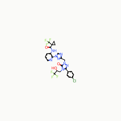 O=C(Nc1cccnc1-n1cnc(Cn2nc(-c3ccc(Cl)cc3)n(CC(O)C(F)(F)F)c2=O)n1)C1(C(F)(F)F)CC1